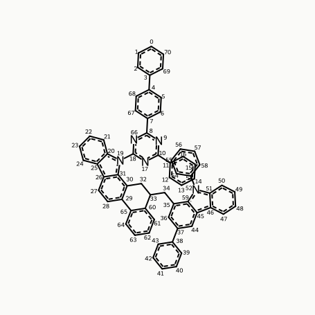 c1ccc(-c2ccc(-c3nc(-c4ccccc4)nc(-n4c5ccccc5c5ccc6c(c54)CC(Cc4cc(-c5ccccc5)cc5c7ccccc7n(-c7ccccc7)c45)c4ccccc4-6)n3)cc2)cc1